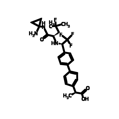 C[C@H](C(=O)O)c1ccc(-c2ccc([C@H](N[C@@H](CC(C)(C)F)C(=O)NC3(N)CC3)C(F)(F)F)cc2)cc1